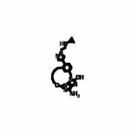 Nc1nc2nc3c1nc(O)n3Cc1ccc(-c3cnn(CCNC4CC4)c3)c(c1)CCCCCO2